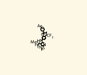 CO[C@@H](c1c(Nc2ccc([C@H](N(C)C(=O)C3CCN(C(C)=O)CC3)C(F)(F)F)cc2)cnc2sc(C)nc12)C(F)F